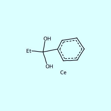 CCC(O)(O)c1ccccc1.[Ce]